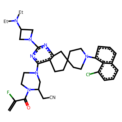 C=C(F)C(=O)N1CCN(c2nc(N3CC(N(CC)CC)C3)nc3c2CCC2(CCN(c4cccc5cccc(Cl)c45)CC2)C3)CC1CC#N